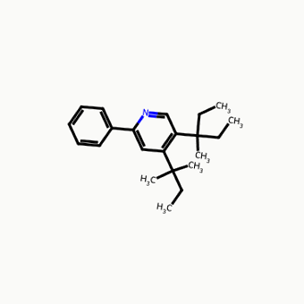 CCC(C)(C)c1cc(-c2ccccc2)ncc1C(C)(CC)CC